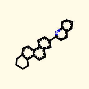 c1ccc2nc(-c3ccc4c(ccc5c6c(ccc54)CCCC6)c3)ccc2c1